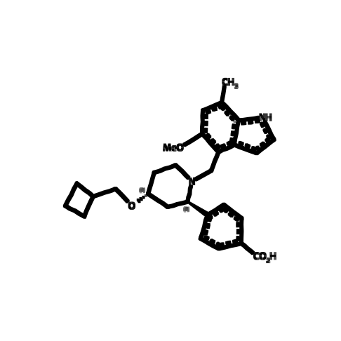 COc1cc(C)c2[nH]ccc2c1CN1CC[C@@H](OCC2CCC2)C[C@@H]1c1ccc(C(=O)O)cc1